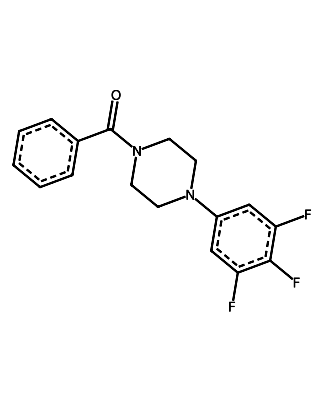 O=C(c1ccccc1)N1CCN(c2cc(F)c(F)c(F)c2)CC1